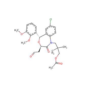 COc1cccc([C@H]2O[C@H](CC=O)C(=O)N(CC(C)(C)COC(C)=O)c3ccc(Cl)cc32)c1OC